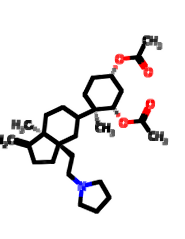 C=C1CC[C@@]2(CCN3CCCC3)CC([C@@]3(C)CC[C@H](OC(C)=O)C[C@@H]3OC(C)=O)CC[C@]12C